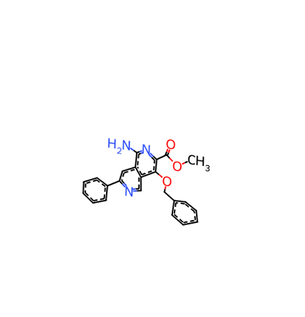 COC(=O)c1nc(N)c2cc(-c3ccccc3)ncc2c1OCc1ccccc1